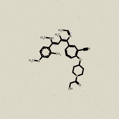 CN\C(=C/C(C)=C(/N=C\N)C1=CC(C#N)=C(OC2CCN(C(=O)CO)CC2)C=C=C1)c1ccc(OC)cc1C